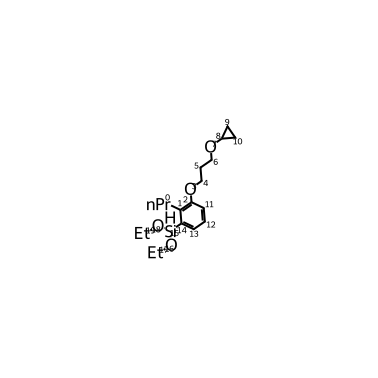 CCCc1c(OCCCOC2CC2)cccc1[SiH](OCC)OCC